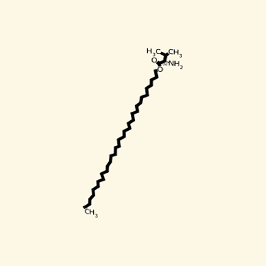 CCCCCCCCCCCCCCCCCCCCCCCCCCCCCCCCCCOC(=O)[C@@H](N)C(C)C